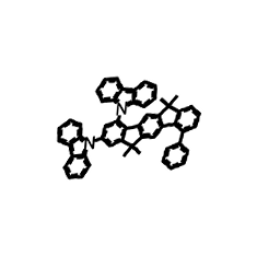 CC1(C)c2cc3c(cc2-c2c(-c4ccccc4)cccc21)C(C)(C)c1cc(-n2c4ccccc4c4ccccc42)cc(-n2c4ccccc4c4ccccc42)c1-3